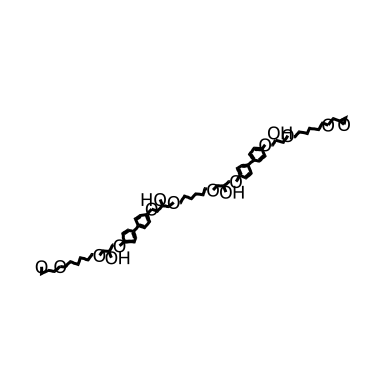 OC(COCCCCCCOCC(O)COc1ccc(-c2ccc(OCC(O)COCCCCCCOCC3CO3)cc2)cc1)COc1ccc(-c2ccc(OCC(O)COCCCCCCOCC3CO3)cc2)cc1